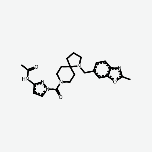 CC(=O)Nc1ccn(C(=O)N2CCC3(CCCN3Cc3ccc4nc(C)oc4c3)CC2)n1